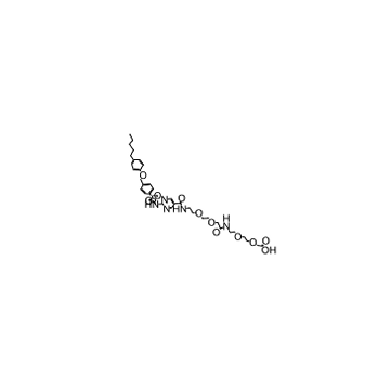 CCCCCc1ccc(OCc2ccc(S(=O)(=O)Nc3ncc(C(=O)NCCOCCOCC(=O)NCCOCCOCC(=O)O)cn3)cc2)cc1